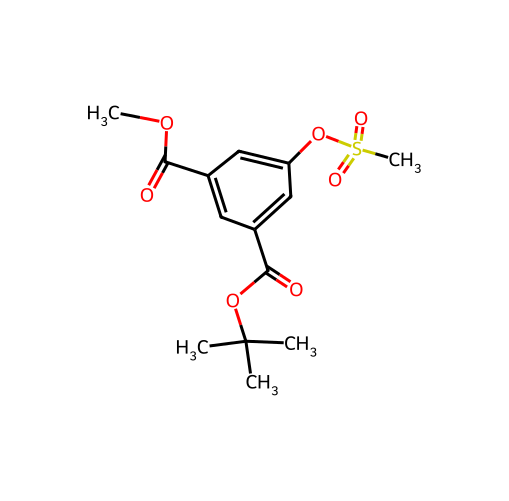 COC(=O)c1cc(OS(C)(=O)=O)cc(C(=O)OC(C)(C)C)c1